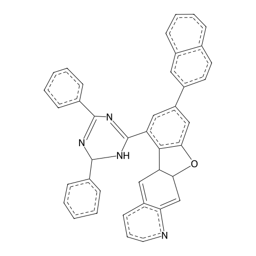 C1=c2cccnc2=CC2Oc3cc(-c4ccc5ccccc5c4)cc(C4=NC(c5ccccc5)=NC(c5ccccc5)N4)c3C12